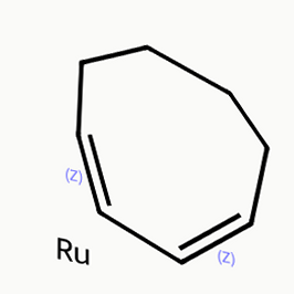 C1=C\CCCC\C=C/1.[Ru]